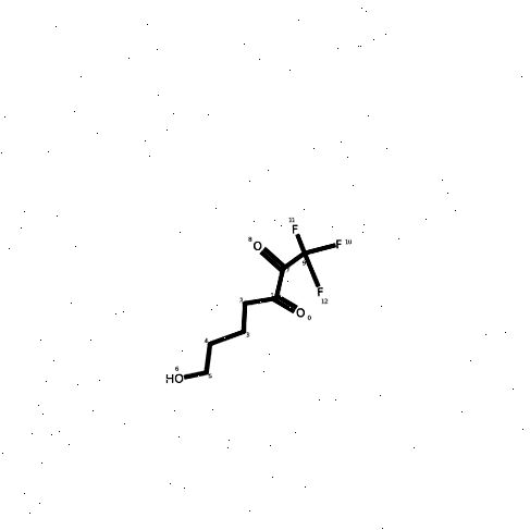 O=C(CCCCO)C(=O)C(F)(F)F